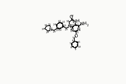 Nc1nc(OCc2ccccc2)nc2c1NC(=O)CN2Cc1cccc(CN2CCCC2)c1